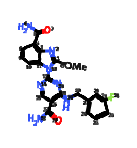 COc1nc2c(C(N)=O)cccc2n1-c1ncc(C(N)=O)c(NCc2cccc(F)c2)n1